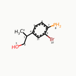 CC(CO)c1ccc(P)c(Br)c1